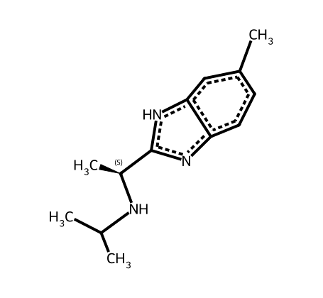 Cc1ccc2nc([C@H](C)NC(C)C)[nH]c2c1